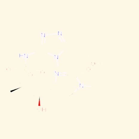 COc1cccc(OC)c1-n1c(NS(=O)(=O)[C@H](C)[C@H](O)c2cn3ccccc3n2)nnc1-c1ccc(C)o1